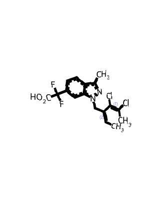 C/C=C(Cn1nc(C)c2ccc(C(F)(F)C(=O)O)cc21)\C(Cl)=C(/C)Cl